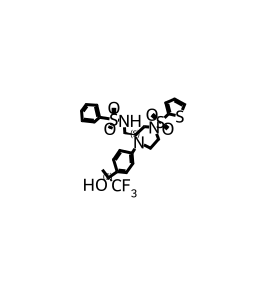 C[C@](O)(c1ccc(N2CCN(S(=O)(=O)c3cccs3)C[C@@H]2CNS(=O)(=O)c2ccccc2)cc1)C(F)(F)F